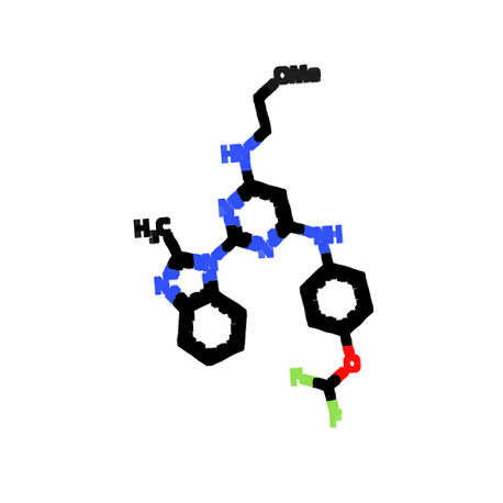 COCCNc1cc(Nc2ccc(OC(F)F)cc2)nc(-n2c(C)nc3ccccc32)n1